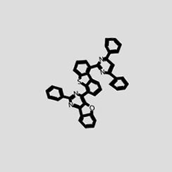 c1ccc(-c2cc(-c3ccccc3)nc(-c3cccc4sc5c(-c6nc(-c7ccccc7)nc7c6oc6ccccc67)cccc5c34)n2)cc1